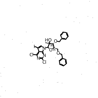 C[C@]1(O)C(n2cc(I)c3c(Cl)nc(Cl)nc32)O[C@H](COCc2ccccc2)[C@H]1OCc1ccccc1